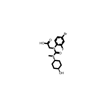 CN(C(=O)N(CC(=O)O)c1ccc(Br)cc1F)[C@H]1CC[C@@H](O)CC1